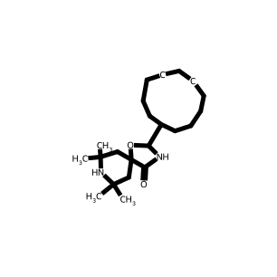 CC1(C)CC2(CC(C)(C)N1)OC(C1CCCCCCCCCC1)NC2=O